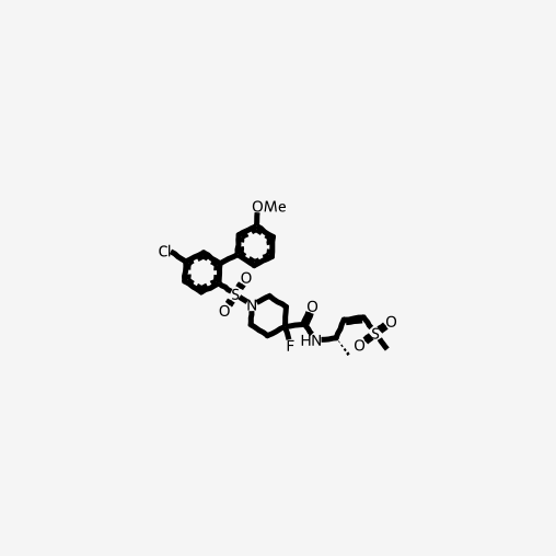 COc1cccc(-c2cc(Cl)ccc2S(=O)(=O)N2CCC(F)(C(=O)N[C@@H](C)/C=C\S(C)(=O)=O)CC2)c1